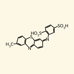 Cc1ccc2sc3c/c(=N\c4cc(S(=O)(=O)O)ccc4S(=O)(=O)O)ccc-3nc2c1